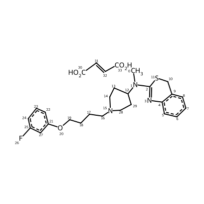 CN(C1=Nc2ccccc2CS1)C1CCN(CCCCOc2cccc(F)c2)CC1.O=C(O)/C=C/C(=O)O